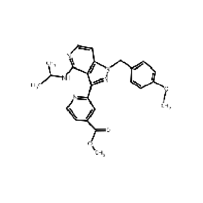 COC(=O)c1ccnc(-c2nn(Cc3ccc(OC)cc3)c3ccnc(NC(C)C)c23)c1